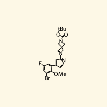 COc1c(Br)cc(F)cc1-c1ccnc(N2CC3(CN(C(=O)OC(C)(C)C)C3)C2)c1